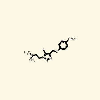 COc1ccc(OCc2nnn(CCN(C)C)c2I)cc1